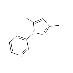 CC(C)c1cc(N)n(-c2cccnc2)n1